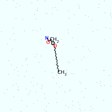 C=C(C(=O)C#N)c1ccc(OCCCCCCCCCCCCCCCCCC)cc1